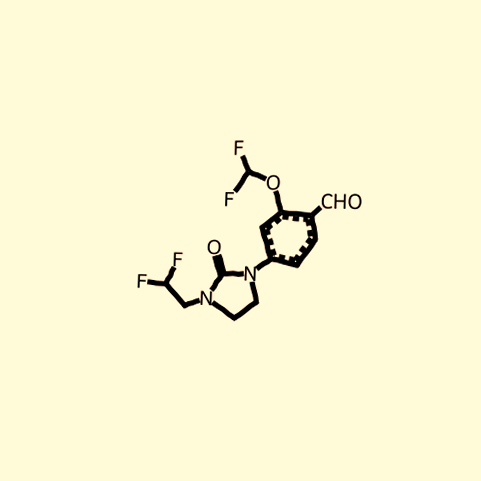 O=Cc1ccc(N2CCN(CC(F)F)C2=O)cc1OC(F)F